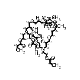 C=CC(=O)OCCN(CCOC(=O)C=C)CC(O)COCCC[Si](C)(C)O[Si](C)(C)O[Si](C)(C)CCCOCC(O)CN(CCOC(=O)C=C)CCOC(=O)C=C